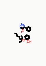 CCCCCC(CC)(CC)Oc1ccccc1O.COc1cnnnc1-c1ccccc1